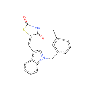 Cc1cccc(Cn2cc(/C=C3/SC(=O)NC3=O)c3ccccc32)c1